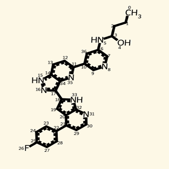 CCCC(O)Nc1cncc(-c2ccc3[nH]nc(-c4cc5c(-c6ccc(F)cc6)ccnc5[nH]4)c3n2)c1